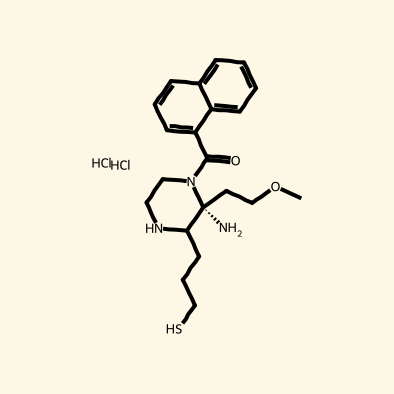 COCC[C@@]1(N)C(CCCS)NCCN1C(=O)c1cccc2ccccc12.Cl.Cl